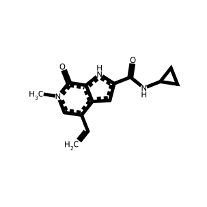 C=Cc1cn(C)c(=O)c2[nH]c(C(=O)NC3CC3)cc12